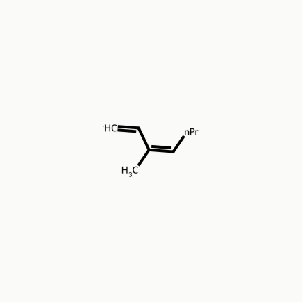 [CH]=CC(C)=CCCC